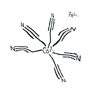 N#[C][Co-3]([C]#N)([C]#N)([C]#N)([C]#N)[C]#N.[Fe+3]